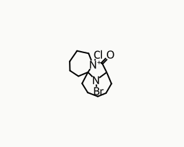 O=C1C2CCCCCC3(CCCCC[N+]13Cl)N2Br